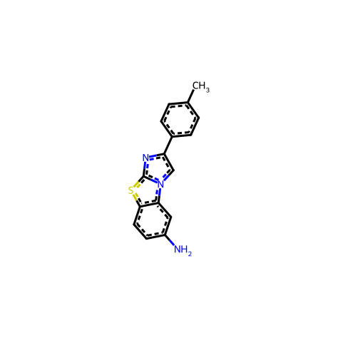 Cc1ccc(-c2cn3c(n2)sc2ccc(N)cc23)cc1